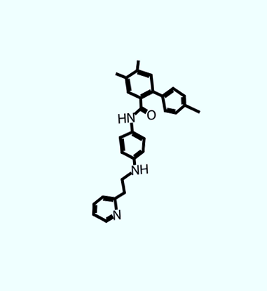 Cc1ccc(-c2cc(C)c(C)cc2C(=O)Nc2ccc(NCCc3ccccn3)cc2)cc1